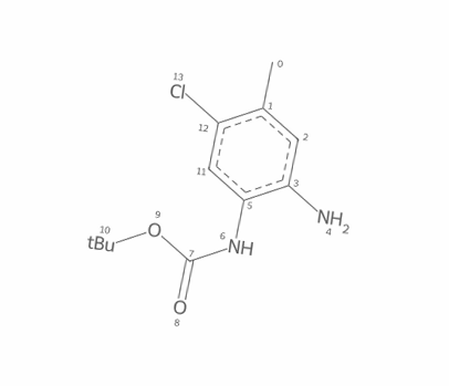 Cc1cc(N)c(NC(=O)OC(C)(C)C)cc1Cl